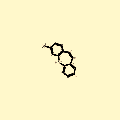 Brc1ccc2c(c1)Nc1ccccc1C=C2